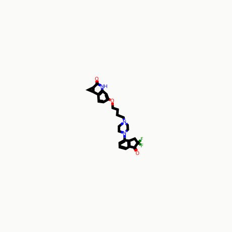 O=C1Nc2cc(OCCCCN3CCN(c4cccc5c4CC(F)(F)C5=O)CC3)ccc2C2CC12